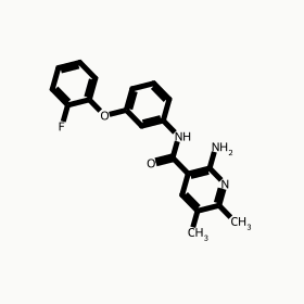 Cc1cc(C(=O)Nc2cccc(Oc3ccccc3F)c2)c(N)nc1C